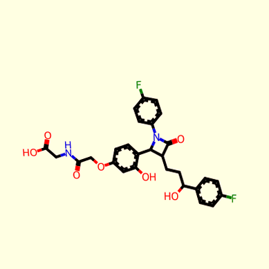 O=C(O)CNC(=O)COc1ccc(C2C(CCC(O)c3ccc(F)cc3)C(=O)N2c2ccc(F)cc2)c(O)c1